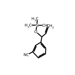 C=CC(O[Si](C)(C)C)c1cccc(C#N)c1